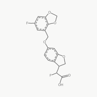 O=C(O)C(F)C1COc2cc(OCc3cc(F)cc4c3OCO4)ccc21